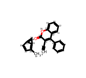 C#Cc1c(-c2ccccc2)c2ccccc2oc1=O.Cc1ccc2cc1-2